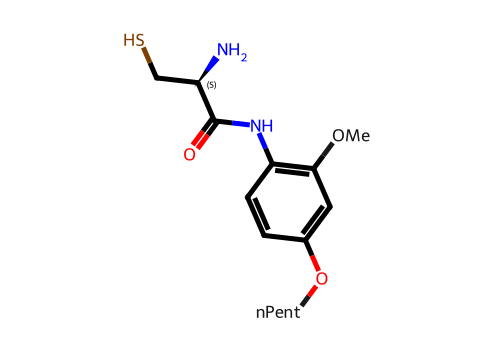 CCCCCOc1ccc(NC(=O)[C@H](N)CS)c(OC)c1